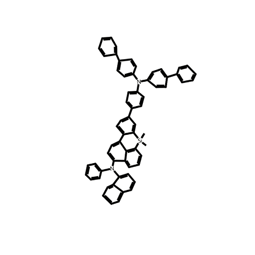 C[Si]1(C)c2cc(-c3ccc(N(c4ccc(-c5ccccc5)cc4)c4ccc(-c5ccccc5)cc4)cc3)ccc2-c2ccc(N(c3ccccc3)c3cccc4ccccc34)c3cccc1c23